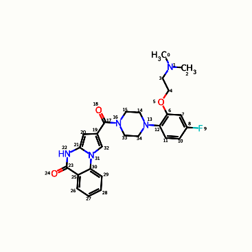 CN(C)CCOc1cc(F)ccc1N1CCN(C(=O)c2cc3[nH]c(=O)c4ccccc4n3c2)CC1